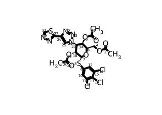 CC(=O)OC[C@H]1O[C@H](Sc2cc(Cl)c(Cl)c(Cl)c2)[C@H](OC(C)=O)[C@@H](n2cc(-c3nncs3)nn2)[C@H]1OC(C)=O